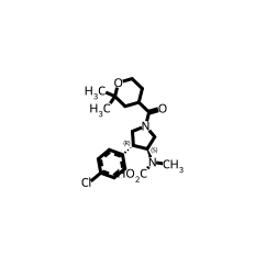 CN(C(=O)O)[C@@H]1CN(C(=O)C2CCOC(C)(C)C2)C[C@H]1c1ccc(Cl)cc1